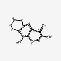 CCCc1c2c(cc3c(=O)c(C#N)coc13)CCCC2